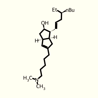 CCCC[C@H](CC)C/C=C/[C@@H]1[C@H]2CC(CCCCCN(C)C)=C[C@H]2C[C@H]1O